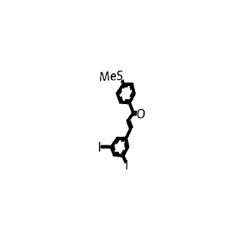 CSc1ccc(C(=O)C=Cc2cc(I)cc(I)c2)cc1